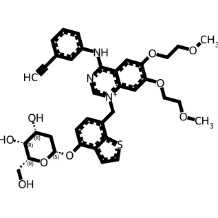 C#Cc1cccc(Nc2nc[n+](Cc3ccc(O[C@H]4C[C@@H](O)[C@@H](O)[C@@H](CO)O4)c4ccsc34)c3cc(OCCOC)c(OCCOC)cc23)c1